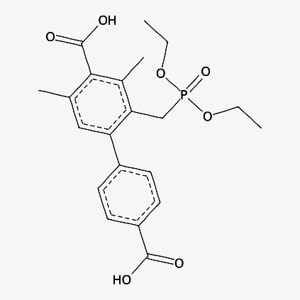 CCOP(=O)(Cc1c(-c2ccc(C(=O)O)cc2)cc(C)c(C(=O)O)c1C)OCC